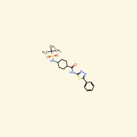 CC(C)(C)S(=O)(=O)NC1CCC(C(=O)Nc2nnc(-c3ccccc3)s2)CC1